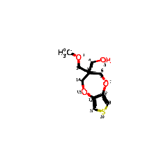 COCC1(CO)COc2cscc2OC1